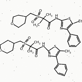 CCc1sc(NC(=O)C(C)(C)S(=O)(=O)CC2CCOCC2)nc1-c1ccccc1.Cc1sc(NC(=O)C(C)(C)S(=O)(=O)CC2CCOCC2)nc1-c1ccccc1